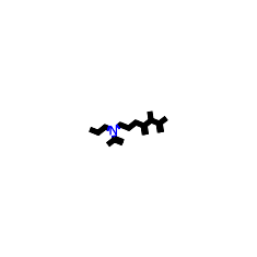 C=C(C)C(C)C(=C)CCCN(CCC)C(=C)C